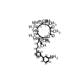 B[C@@H]1[C@@H](C)C(=O)[C@@H](C)C(=O)O[C@H](CC)[C@@](C)(OC#C)[C@H](NCCCCn2cc(-c3cccc(N)c3)nn2)[C@@H](C)N[C@H](C)C[C@@]1(C)OC